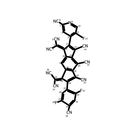 N#CC(C#N)=C1C(c2cc(C#N)ncc2F)=C(C#N)c2c1cc1c(c2C#N)C(C#N)=C(c2cc(F)c(C#N)cc2F)C1=C(C#N)C#N